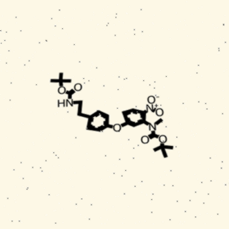 CN(C(=O)OC(C)(C)C)c1cc(Oc2ccc(CCNC(=O)OC(C)(C)C)cc2)ccc1[N+](=O)[O-]